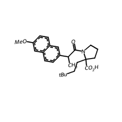 COc1ccc2cc(C(C)C(=O)N3CCCC3(CCC(C)(C)C)C(=O)O)ccc2c1